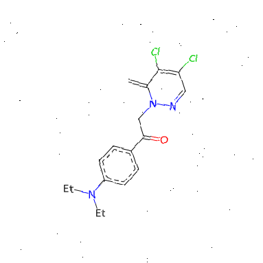 C=C1C(Cl)=C(Cl)C=NN1CC(=O)c1ccc(N(CC)CC)cc1